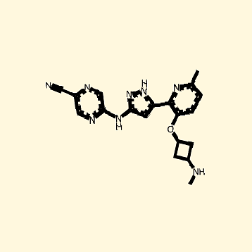 CNC1CC(Oc2ccc(C)nc2-c2cc(Nc3cnc(C#N)cn3)n[nH]2)C1